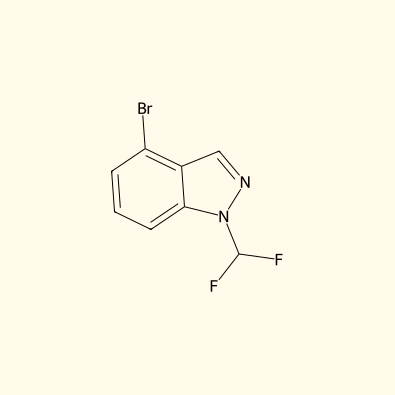 FC(F)n1ncc2c(Br)cccc21